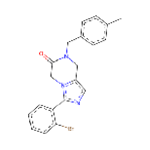 Cc1ccc(CN2Cc3cnc(-c4ccccc4Br)n3CC2=O)cc1